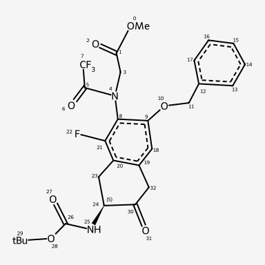 COC(=O)CN(C(=O)C(F)(F)F)c1c(OCc2ccccc2)cc2c(c1F)C[C@H](NC(=O)OC(C)(C)C)C(=O)C2